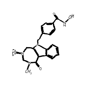 CCN1Cc2c(c3ccccc3n2Cc2ccc(C(=O)NO)cc2)C(=O)N(C)C1